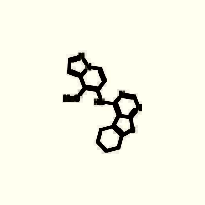 COc1c(Nc2ncnc3sc4c(c23)CCCC4)ccn2nccc12